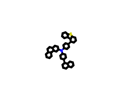 c1ccc2c(-c3ccc(N(c4ccc(-c5cccc6sc7ccccc7c56)cc4)c4ccc5ccc6ccccc6c5c4)cc3)cccc2c1